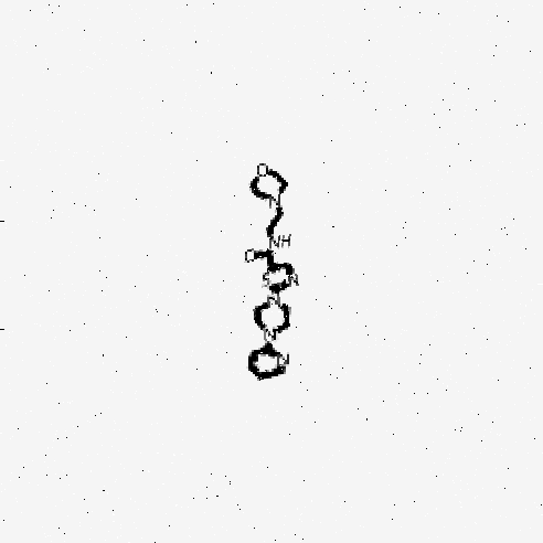 O=C(NCCN1CCOCC1)c1cnc(N2CCN(c3ccccn3)CC2)s1